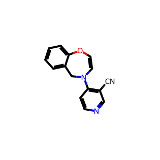 N#Cc1cnccc1N1C=COc2ccccc2C1